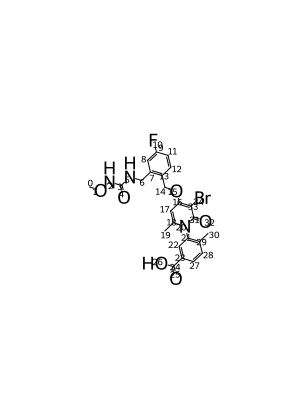 CONC(=O)NCc1cc(F)ccc1COc1cc(C)n(-c2cc(C(=O)O)ccc2C)c(=O)c1Br